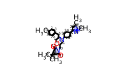 Cc1ccc(CC2COC(CN3C(=O)C4C(C3=O)C4(C)C)CN2C2CCC(c3cc(C)n(C)n3)CC2)cc1